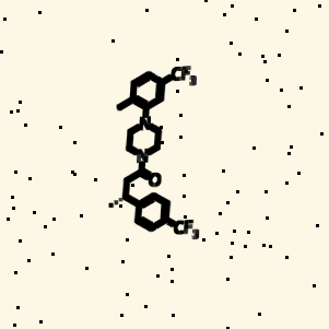 Cc1ccc(C(F)(F)F)cc1N1CCN(C(=O)C[C@@H](C)c2ccc(C(F)(F)F)cc2)CC1